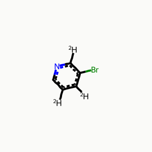 [2H]c1cnc([2H])c(Br)c1[2H]